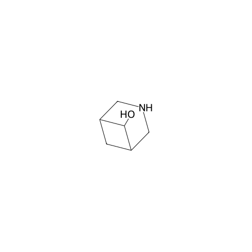 OC1C2CNCC1C2